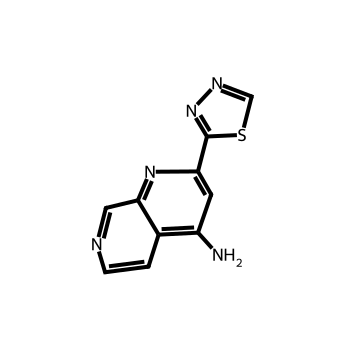 Nc1cc(-c2nncs2)nc2cnccc12